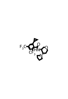 O=C(N[C@H]1COCC[C@@H]1N1CCCC1)c1c(C2CC2)cc(C(F)(F)F)cc1C(F)(F)F